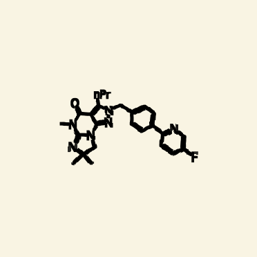 CCCc1c2c(nn1Cc1ccc(-c3ccc(F)cn3)cc1)N1CC(C)(C)N=C1N(C)C2=O